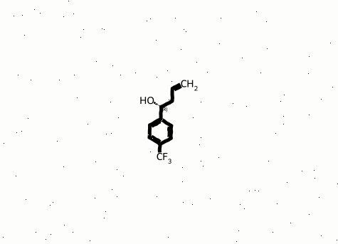 C=CC[C@@H](O)c1ccc(C(F)(F)F)cc1